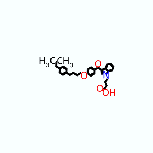 CC(C)Cc1ccc(CCCCOc2ccc(C(=O)c3cn(CCCC(=O)O)c4ccccc34)cc2)cc1